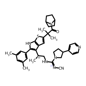 Cc1cc(C)cc(-c2[nH]c3sc(C(C)(C)C(=O)N4C5CCC4CC5)cc3c2[C@H](C)CN/C(=N/C#N)N2CCC(c3ccncc3)C2)c1